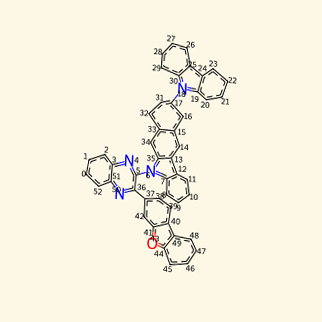 c1ccc2nc(-n3c4ccccc4c4cc5cc(-n6c7ccccc7c7ccccc76)ccc5cc43)c(-c3ccc4c(c3)oc3ccccc34)nc2c1